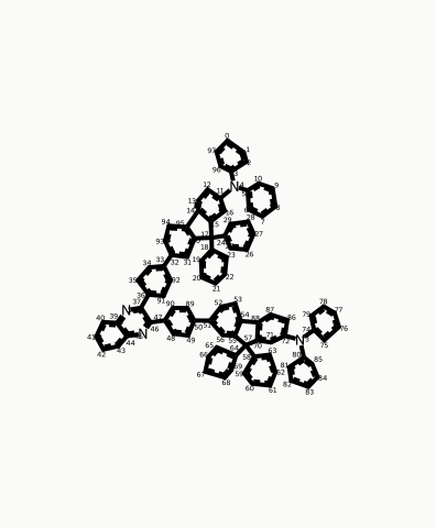 c1ccc(N(c2ccccc2)c2ccc3c(c2)C(c2ccccc2)(c2ccccc2)c2cc(-c4ccc(-c5nc6ccccc6nc5-c5ccc(-c6ccc7c(c6)C(c6ccccc6)(c6ccccc6)c6cc(N(c8ccccc8)c8ccccc8)ccc6-7)cc5)cc4)ccc2-3)cc1